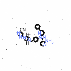 N#Cc1cc(N2C[C@H]3C[C@@H]2CN3Cc2ccc(-n3c(-c4cccnc4N)nc4ccc(-c5ccccc5)nc43)cc2)ncn1